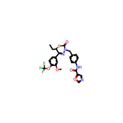 CCC1SC(=O)N(Cc2ccc(NC(=O)c3cnco3)cc2)N=C1c1ccc(OC(F)(F)F)c(OC)c1